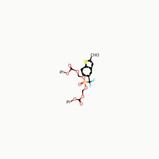 CC(C)OC(=O)OCOP(=O)(OCOC(=O)OC(C)C)C(F)(F)c1ccc2sc(C=O)cc2c1